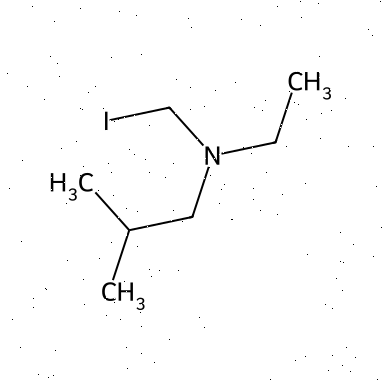 CCN(CI)CC(C)C